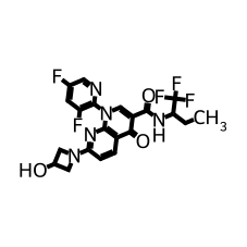 CCC(NC(=O)c1cn(-c2ncc(F)cc2F)c2nc(N3CC(O)C3)ccc2c1=O)C(F)(F)F